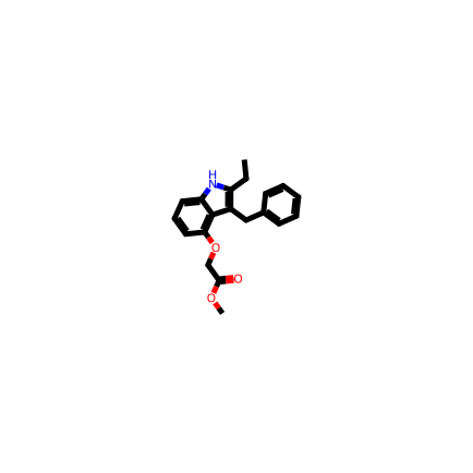 CCc1[nH]c2cccc(OCC(=O)OC)c2c1Cc1ccccc1